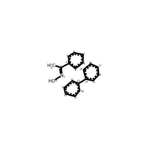 CC(=NO)c1ccccc1.c1ccc(-c2ccccc2)cc1